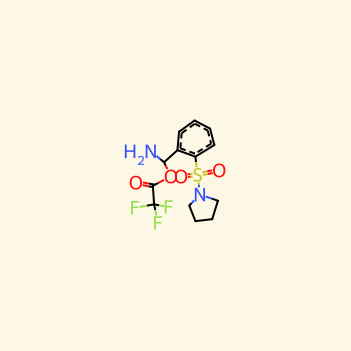 NC(OC(=O)C(F)(F)F)c1ccccc1S(=O)(=O)N1CCCC1